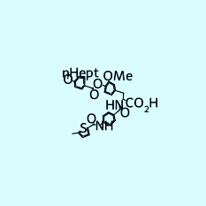 CCCCCCCOc1ccc(C(=O)Oc2ccc(CC(NC(=O)c3ccc(NC(=O)c4ccc(C)s4)cc3)C(=O)O)cc2OC)cc1